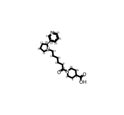 O=C(O)C1CCN(C(=O)CCCCCN2CCC[C@H]2c2cccnc2)CC1